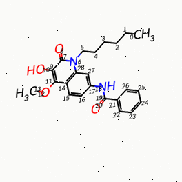 CCCCCCn1c(=O)c(O)c(OC)c2ccc(NC(=O)c3ccccc3)cc21